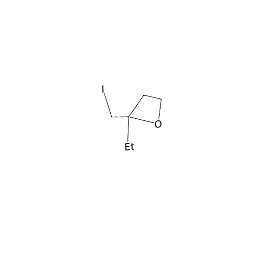 CCC1(CI)CCO1